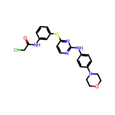 O=C(CCl)Nc1cccc(Sc2ccnc(Nc3ccc(N4CCOCC4)cc3)n2)c1